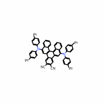 CC(C)c1ccc(N(c2ccc(C(C)C)cc2)c2cc3c4cc(C#N)c(C#N)cc4c4cc(N(c5ccc(C(C)C)cc5)c5ccc(C(C)C)cc5)c5ccccc5c4c3c3ccccc23)cc1